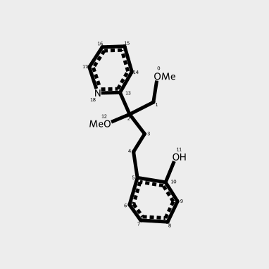 COCC(CCc1ccccc1O)(OC)c1ccccn1